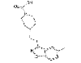 Cc1ccc2onc(CCC3CCN(C(=O)O)CC3)c2c1